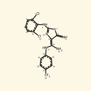 N=C1SC(Nc2c(Cl)cccc2Cl)=N/C1=C(/N)Nc1ccc(C(F)(F)F)cc1